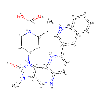 CCC1CC(n2c(=O)n(C)c3cnc4ccc(-c5cnc6ccccc6c5)nc4c32)CCN1C(=O)O